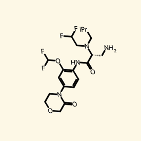 CC(C)CN(CC(F)F)[C@H](CN)C(=O)Nc1ccc(N2CCOCC2=O)cc1OC(F)F